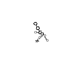 C[Si](C)(C)CCOCn1c(OCCC=O)cc2nc(-c3ccc(-c4ccccc4)cc3)c(Cl)cc21